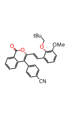 COc1cccc(C=Cc2oc(=O)c3ccccc3c2-c2ccc(C#N)cc2)c1OCC(C)(C)C